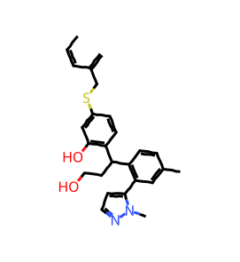 C=C(/C=C\C)CSc1ccc(C(CCO)c2ccc(C)cc2-c2ccnn2C)c(O)c1